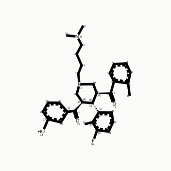 Cc1ccccc1C(=O)[C@@H]1CN(CCCCN(C)C)C[C@H](C(=O)c2cccc(O)c2)[C@H]1c1cccc(F)c1C